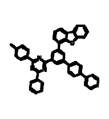 Cc1ccc(-c2nc(-c3ccccc3)nc(-c3cc(-c4ccc(-c5ccccc5)cc4)cc(-c4cccc5c4oc4ccccc45)c3)n2)cc1